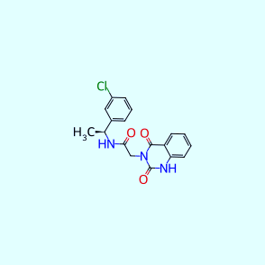 C[C@H](NC(=O)Cn1c(=O)[nH]c2ccccc2c1=O)c1cccc(Cl)c1